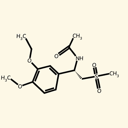 CCOc1cc([C@@H](CS(C)(=O)=O)NC(C)=O)ccc1OC